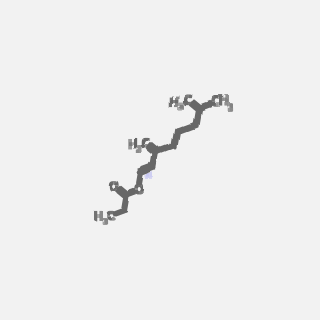 C=C(/C=C/OC(=O)CC)CCCC(C)C